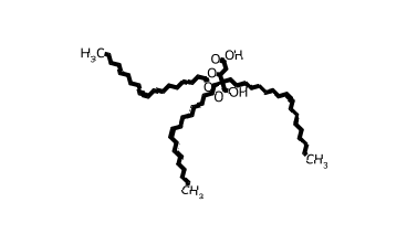 CCCCCCCC/C=C\CCCCCCCCC(CCCCCCCC/C=C\CCCCCCCC)(C(=O)O)C(CC(=O)O)OC(=O)CCCCCCC/C=C\CCCCCCCC